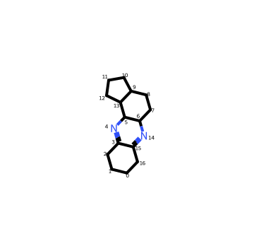 C1CCC2=NC3C(CCC4CCCC43)N=C2C1